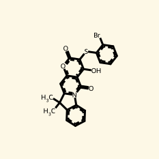 CC1(C)c2ccccc2-n2c1cc1oc(=O)c(Sc3ccccc3Br)c(O)c1c2=O